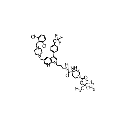 CC(C)(C)OC(=O)N1CCC(N)(C(=O)NCCCn2cc(-c3ccc(OC(F)(F)F)cc3)c3cc(CN4CCN(Cc5c(Cl)cccc5Cl)CC4)cnc32)CC1